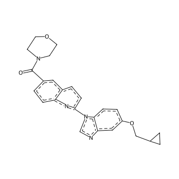 O=C(c1ccc2nc(-n3cnc4cc(OCC5CC5)ccc43)ccc2c1)N1CCOCC1